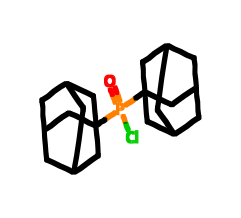 O=P(Cl)(C12CC3CC(CC(C3)C1)C2)C12CC3CC(CC(C3)C1)C2